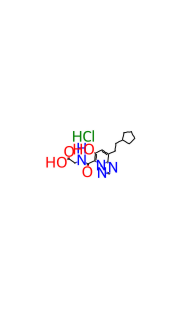 Cl.O=C(O)CNC(=O)c1c(O)cc(CCC2CCCC2)c2ncnn12